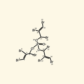 O=P(OC(Br)C(Br)=CBr)(OC(Br)C(Br)=CBr)OC(Br)C(Br)=CBr